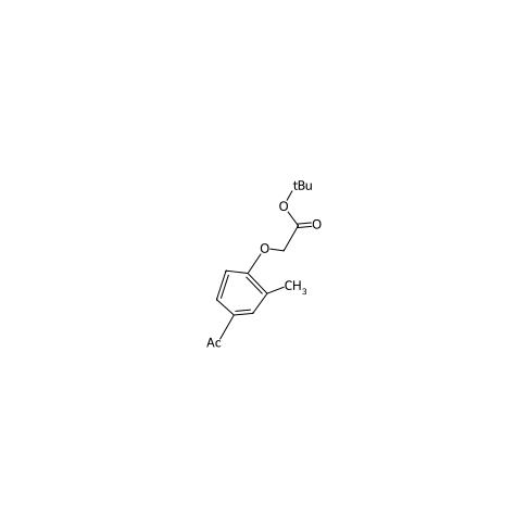 CC(=O)c1ccc(OCC(=O)OC(C)(C)C)c(C)c1